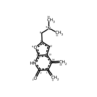 C=c1c(=O)[nH]c2oc(CN(C)C)cc2c1=C